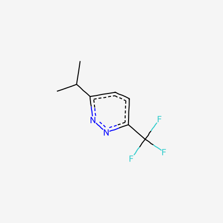 CC(C)c1ccc(C(F)(F)F)nn1